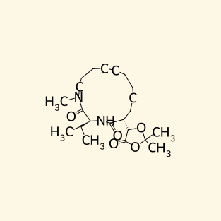 CC(C)[C@@H]1NC(=O)[C@@H](C2OC(C)(C)OC2=O)CCCCCCCCCN(C)C1=O